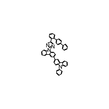 c1ccc(-c2ccc(-c3ccccc3-c3cnc(-n4c5ccccc5c5cc(-c6ccc7c(c6)c6ccccc6n7-c6ccccc6)ccc54)nc3)cc2)cc1